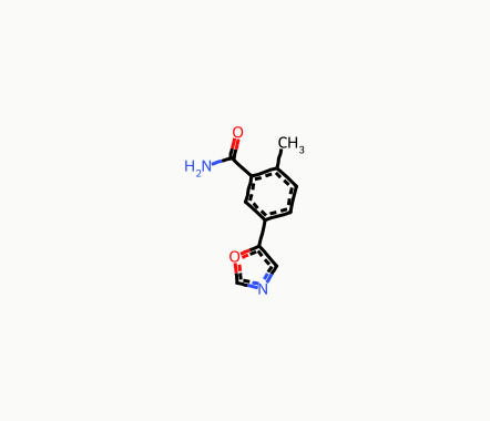 Cc1ccc(-c2cnco2)cc1C(N)=O